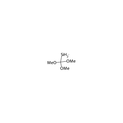 COC([SiH2])(OC)OC